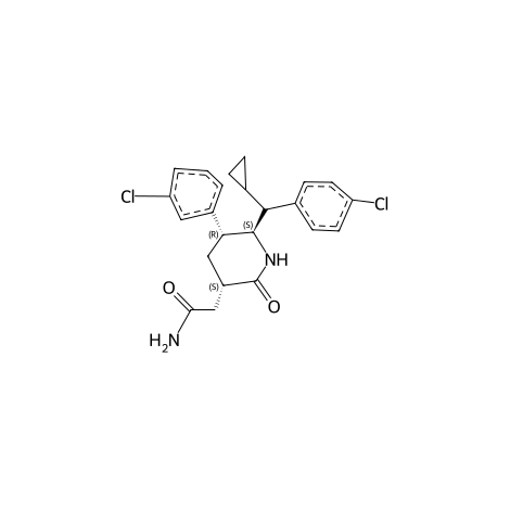 NC(=O)C[C@@H]1C[C@H](c2cccc(Cl)c2)[C@@H](C(c2ccc(Cl)cc2)C2CC2)NC1=O